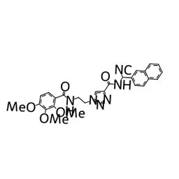 COc1ccc(C(=O)NCCn2cc(C(=O)NC(C#N)c3ccc4ccccc4c3)nn2)c(OC)c1OC